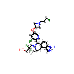 C[C@@H]1Cc2c(ccc3[nH]ncc23)C(c2ncc(OC3CN(CCCF)C3)cc2F)N1CC(F)(F)CO